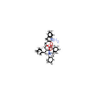 NC(=O)C(CC(=O)CC(Cc1ccccc1)C(=O)N(CC1CCCCC1)CC1CCCCC1)Cc1ccccc1